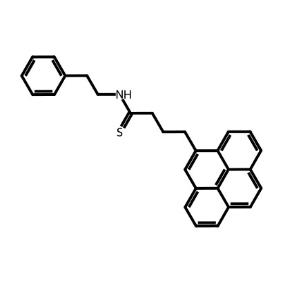 S=C(CCCc1cc2cccc3ccc4cccc1c4c32)NCCc1ccccc1